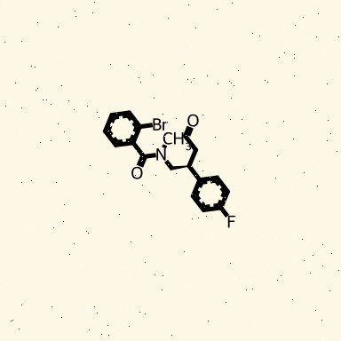 CN(C[C@@H](CC=O)c1ccc(F)cc1)C(=O)c1ccccc1Br